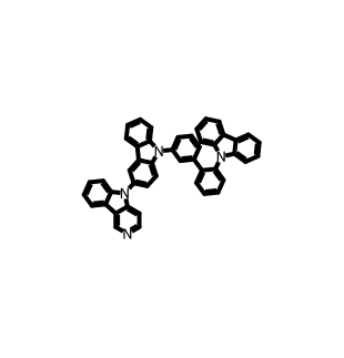 c1cc(-c2ccccc2-n2c3ccccc3c3ccccc32)cc(-n2c3ccccc3c3cc(-n4c5ccccc5c5cnccc54)ccc32)c1